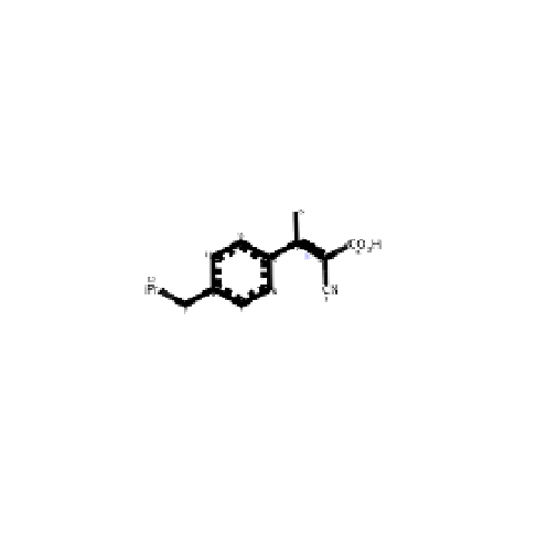 C/C(=C(/C#N)C(=O)O)c1ccc(CC(C)C)cc1